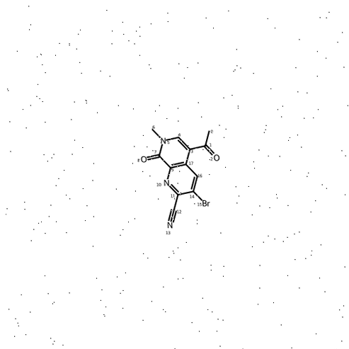 CC(=O)c1cn(C)c(=O)c2nc(C#N)c(Br)cc12